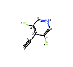 C#Cc1c(F)cncc1F